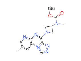 Cc1cnc2nc(N3CC(N(C)C(=O)OC(C)(C)C)C3)c3nncn3c2c1